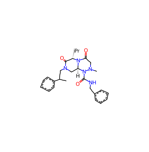 CC(CN1C[C@H]2N(C(=O)CN(C)N2C(=O)NCc2ccccc2)[C@@H](C(C)C)C1=O)c1ccccc1